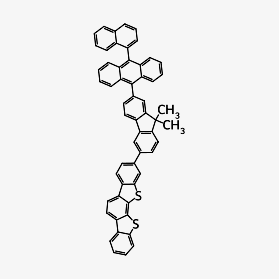 CC1(C)c2ccc(-c3ccc4c(c3)sc3c4ccc4c5ccccc5sc43)cc2-c2ccc(-c3c4ccccc4c(-c4cccc5ccccc45)c4ccccc34)cc21